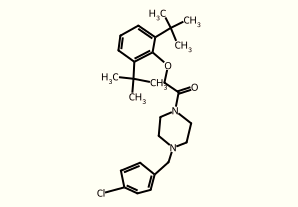 CC(C)(C)c1cccc(C(C)(C)C)c1OCC(=O)N1CCN(Cc2ccc(Cl)cc2)CC1